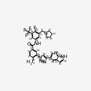 Cc1ccc(C(=O)Nc2cc(CN3CCCC3)c(F)c(C(F)(F)F)c2)cc1-n1cc(-c2cnc3[nH]ccc3c2)nn1